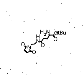 CC(C)(C)OC(=O)[C@@H](N)CCC(=O)NCCN1C(=O)C=CC1=O